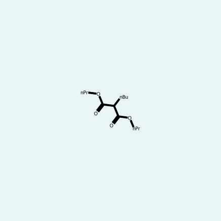 CCCCC(C(=O)OCCC)C(=O)OCCC